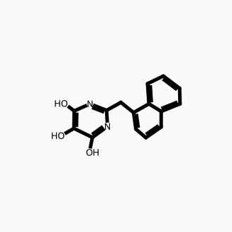 Oc1nc(Cc2cccc3ccccc23)nc(O)c1O